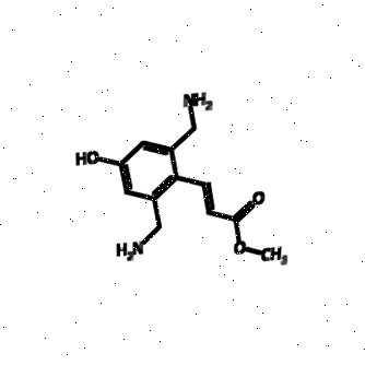 COC(=O)C=Cc1c(CN)cc(O)cc1CN